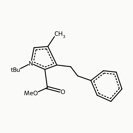 COC(=O)c1c(CCc2ccccc2)c(C)cn1C(C)(C)C